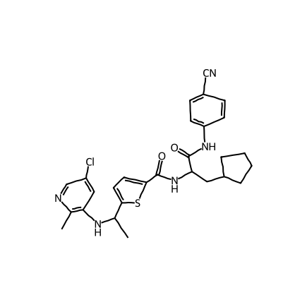 Cc1ncc(Cl)cc1NC(C)c1ccc(C(=O)NC(CC2CCCC2)C(=O)Nc2ccc(C#N)cc2)s1